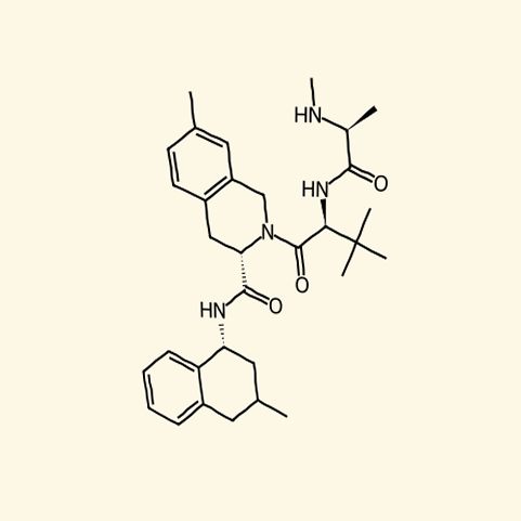 CN[C@@H](C)C(=O)N[C@H](C(=O)N1Cc2cc(C)ccc2C[C@H]1C(=O)N[C@@H]1CC(C)Cc2ccccc21)C(C)(C)C